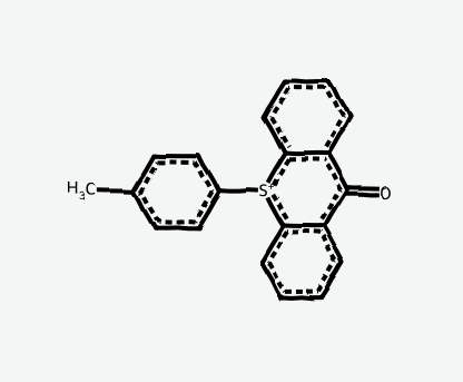 Cc1ccc(-[s+]2c3ccccc3c(=O)c3ccccc32)cc1